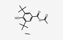 CC(=O)OC(=O)c1cc(C(C)(C)C)c(O)c(C(C)(C)C)c1.[CH2]C